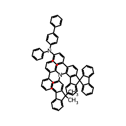 CC1(C)c2ccccc2-c2ccc(N(c3ccccc3-c3ccccc3)c3c(-c4ccc(N(c5ccccc5)c5ccc(-c6ccccc6)cc5)cc4)ccc4c3-c3ccccc3C43c4ccccc4-c4ccccc43)cc21